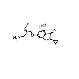 Cl.NC/C(=C/F)COc1ccc2c(c1)CN(C1CC1)C2=O